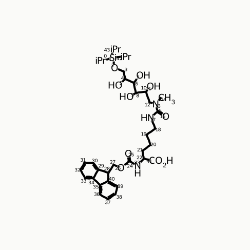 CC(C)[Si](OCC(O)C(O)C(O)C(O)CN(C)C(=O)NCCCCC(NC(=O)OCC1c2ccccc2-c2ccccc21)C(=O)O)(C(C)C)C(C)C